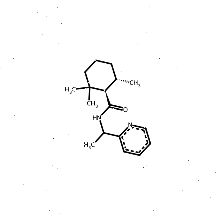 CC(NC(=O)[C@@H]1[C@@H](C)CCCC1(C)C)c1ccccn1